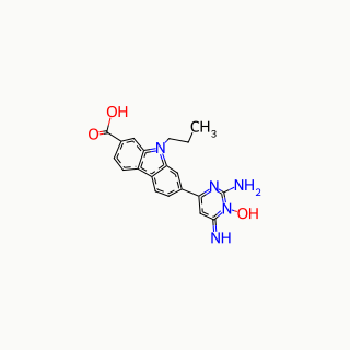 CCCn1c2cc(C(=O)O)ccc2c2ccc(-c3cc(=N)n(O)c(N)n3)cc21